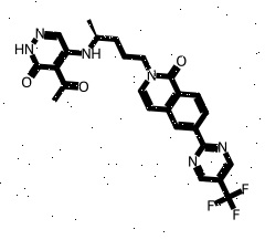 CC(=O)c1c(N[C@@H](C)CCCn2ccc3cc(-c4ncc(C(F)(F)F)cn4)ccc3c2=O)cn[nH]c1=O